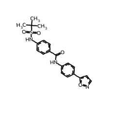 CC(C)(C)S(=O)(=O)Nc1ccc(C(=O)Nc2ccc(-c3ccno3)cc2)cc1